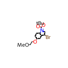 COCCOc1ccc2c(c1)c(Br)cn2C(=O)OC(C)(C)C